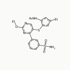 CCOc1ncc(Sc2cn(CC)cc2NC(C)=O)c(-c2cccc(S(N)(=O)=O)c2)n1